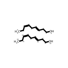 CC/C=C\C/C=C/CCO.CC/C=C\C/C=C/CCO